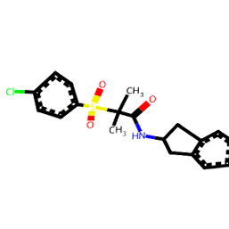 CC(C)(C(=O)NC1Cc2ccccc2C1)S(=O)(=O)c1ccc(Cl)cc1